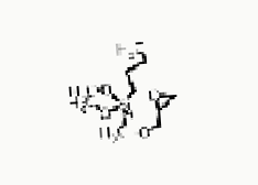 CCCC[Si](OC)(OC)OC.[O]CC1CO1